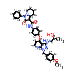 COc1ccc(Cn2nc(NC[C@H](C)O)c3c(Oc4ccc(NC(=O)c5c6n(n(-c7ccccc7)c5=O)CCCC6)cc4)ccnc32)cc1